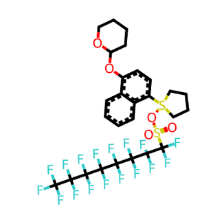 O=S(=O)(OS1(c2ccc(OC3CCCCO3)c3ccccc23)CCCC1)C(F)(F)C(F)(F)C(F)(F)C(F)(F)C(F)(F)C(F)(F)C(F)(F)C(F)(F)F